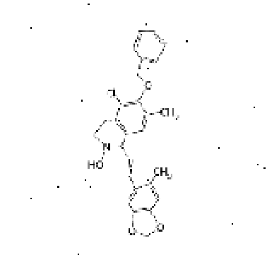 Cc1cc2c(cc1/C=C/C1c3cc(C)c(OCc4ccccc4)c(Cl)c3CCN1O)OCO2